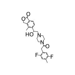 Cc1cc(F)c(CC(=O)N2CCN(CC(O)c3ccc4c(c3C)COC4=O)CC2)cc1F